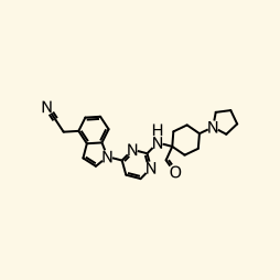 N#CCc1cccc2c1ccn2-c1ccnc(NC2(C=O)CCC(N3CCCC3)CC2)n1